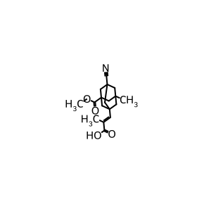 COC(=O)C12CC3(C)CC(C#N)(CC(C=C(C)C(=O)O)(C3)C1)C2